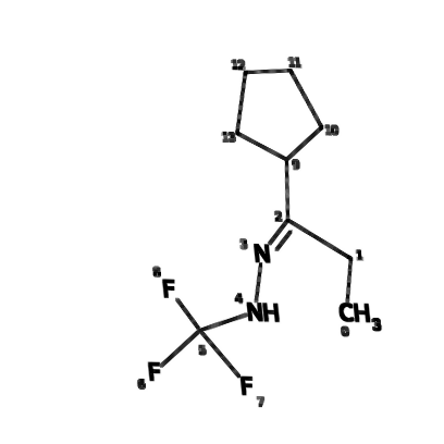 CC/C(=N\NC(F)(F)F)C1CCCC1